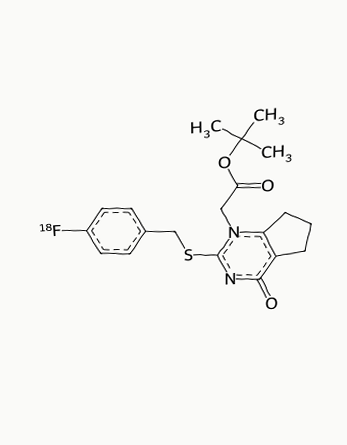 CC(C)(C)OC(=O)Cn1c(SCc2ccc([18F])cc2)nc(=O)c2c1CCC2